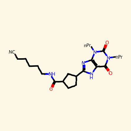 CCCn1c(=O)c2[nH]c(C3CCC(C(=O)NCCCCCC#N)C3)nc2n(CCC)c1=O